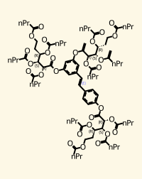 C=C(CCC)O[C@@H]([C@@H](CCOC(=O)CCC)OC(=O)CCC)[C@@H](OC(=O)CCC)C(=C)Oc1cc(/C=C/c2ccc(OC(=O)[C@H](OC(=O)CCC)[C@@H](OC(=O)CCC)[C@@H](CCOC(=O)CCC)OC(=O)CCC)cc2)cc(OC(=O)[C@H](OC(=O)CCC)[C@@H](OC(=O)CCC)[C@@H](CCOC(=O)CCC)OC(=O)CCC)c1